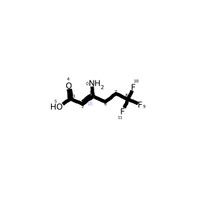 N/C(=C\C(=O)O)CCC(F)(F)F